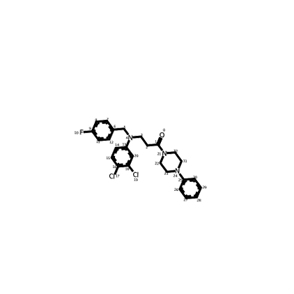 O=C(CCN(Cc1ccc(F)cc1)c1ccc(Cl)c(Cl)c1)N1CCN(c2ccccc2)CC1